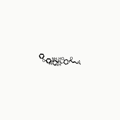 CN(C)CC=CC(=O)N1CC[C@@H](CNC2=CC(N)(c3ccc(Oc4ccccc4)cc3)NC=N2)[C@H](O)C1